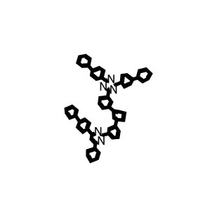 c1ccc(-c2ccc(-c3cc(-c4ccccc4)nc(-c4cccc(-c5cccc(-c6cccc(-c7nc(-c8ccc(-c9ccccc9)cc8)nc(-c8ccc(-c9ccccc9)cc8)n7)c6)c5)c4)n3)cc2)cc1